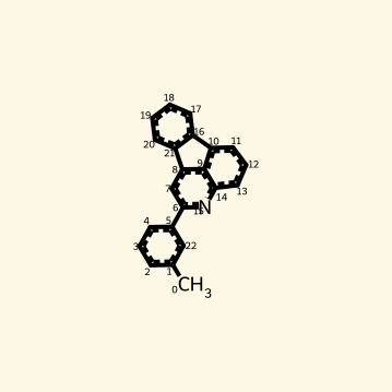 Cc1cccc(-c2cc3c4c(cccc4n2)-c2ccccc2-3)c1